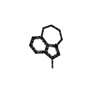 Cc1cn2c3c(cccc13)CCCC2